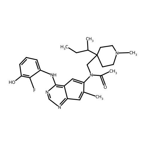 CCC(C)C1(CN(C(C)=O)c2cc3c(Nc4cccc(O)c4F)ncnc3cc2C)CCN(C)CC1